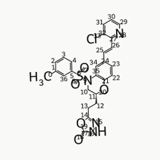 Cc1cccc(S(=O)(=O)N2C[C@H](CCc3n[nH]c(=O)o3)Oc3ccc(/C=C/c4ncccc4Cl)cc32)c1